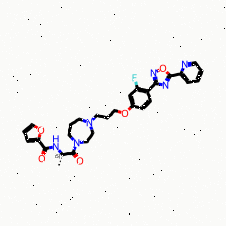 C[C@H](NC(=O)c1ccco1)C(=O)N1CCCN(CCCOc2ccc(-c3noc(-c4ccccn4)n3)c(F)c2)CC1